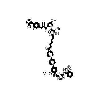 COc1cc(N2CCC(N3CCN(C(=O)CCCCCC(=O)N[C@H](C(=O)N4C[C@H](O)C[C@H]4C(=O)NCc4ccc(-c5scnc5C)cc4)C(C)(C)C)CC3)CC2)ccc1Nc1ncnc(Nc2ccccc2S(=O)(=O)C(C)C)n1